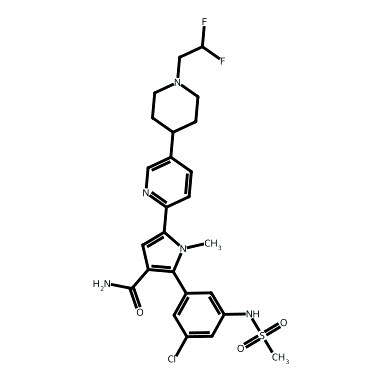 Cn1c(-c2ccc(C3CCN(CC(F)F)CC3)cn2)cc(C(N)=O)c1-c1cc(Cl)cc(NS(C)(=O)=O)c1